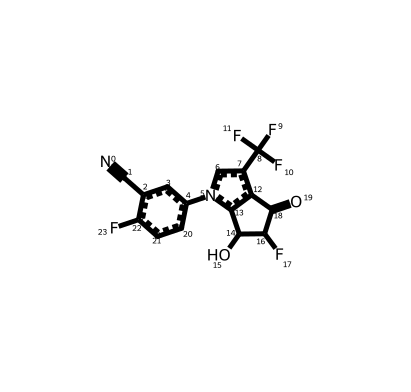 N#Cc1cc(-n2cc(C(F)(F)F)c3c2C(O)C(F)C3=O)ccc1F